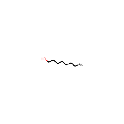 CC(=O)CCCCCCCO